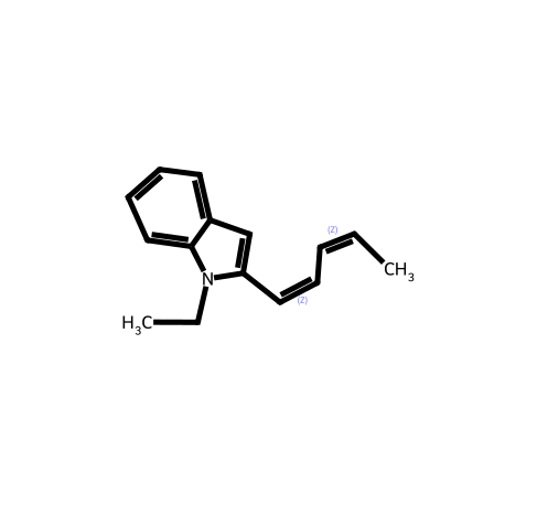 C/C=C\C=C/c1cc2ccccc2n1CC